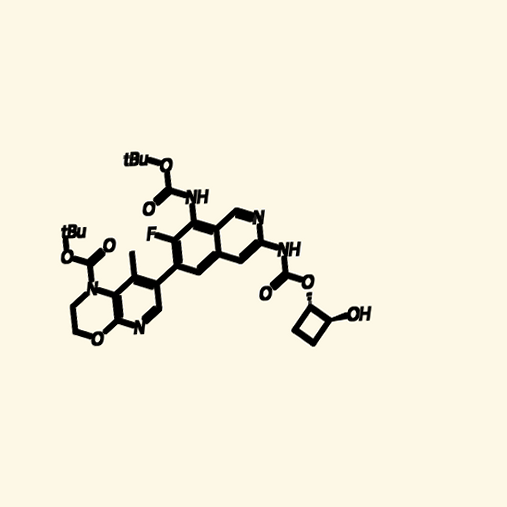 Cc1c(-c2cc3cc(NC(=O)O[C@H]4CC[C@@H]4O)ncc3c(NC(=O)OC(C)(C)C)c2F)cnc2c1N(C(=O)OC(C)(C)C)CCO2